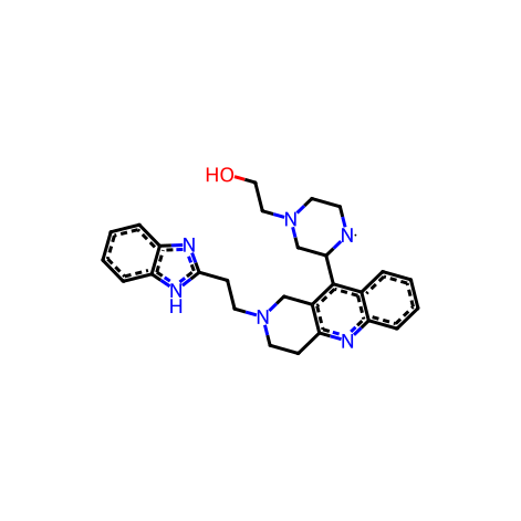 OCCN1CC[N]C(c2c3c(nc4ccccc24)CCN(CCc2nc4ccccc4[nH]2)C3)C1